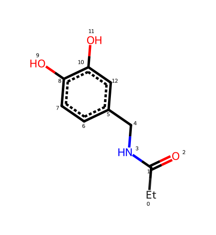 CCC(=O)NCc1ccc(O)c(O)c1